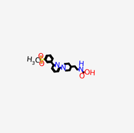 CS(=O)(=O)c1cccc(-c2cccc(N3CCC(CCNC(=O)O)CC3)n2)c1